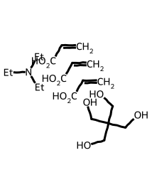 C=CC(=O)O.C=CC(=O)O.C=CC(=O)O.CCN(CC)CC.OCC(CO)(CO)CO